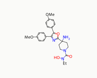 CCN(O)C(=O)N1CCC(N)(c2nc(-c3ccc(OC)cc3)c(-c3ccc(OC)cc3)o2)CC1